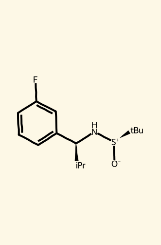 CC(C)[C@H](N[S@+]([O-])C(C)(C)C)c1cccc(F)c1